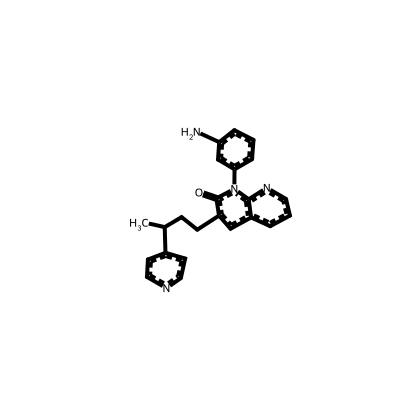 CC(CCc1cc2cccnc2n(-c2cccc(N)c2)c1=O)c1ccncc1